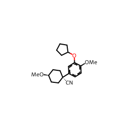 COc1ccc([C@]2(C#N)CC[C@H](OC)CC2)cc1OC1CCCC1